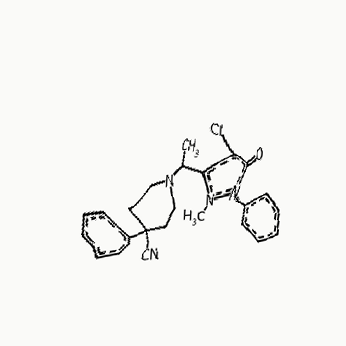 CC(c1c(Cl)c(=O)n(-c2ccccc2)n1C)N1CCC(C#N)(c2ccccc2)CC1